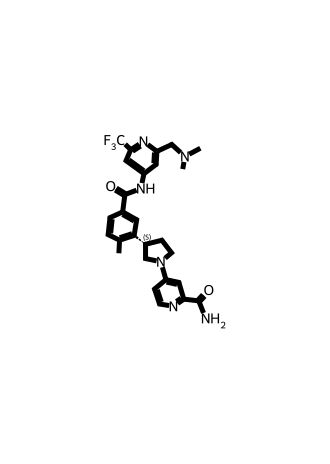 Cc1ccc(C(=O)Nc2cc(CN(C)C)nc(C(F)(F)F)c2)cc1[C@@H]1CCN(c2ccnc(C(N)=O)c2)C1